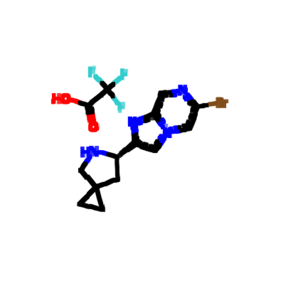 Brc1cn2cc([C@H]3CC4(CC4)CN3)nc2cn1.O=C(O)C(F)(F)F